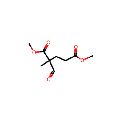 COC(=O)CCC(C)(C=O)C(=O)OC